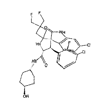 O=C(N[C@H]1CC[C@H](O)CC1)[C@@H]1NC2(CC(CF)(CF)C2)[C@@]2(C(=O)Nc3cc(Cl)ccc32)[C@H]1c1cccc(Cl)c1F